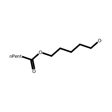 CCCCCC(=O)OCCCCC[O]